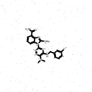 COc1nc2c(C(N)=O)cccc2n1-c1nnc(N(C)C)c(NCc2cccc(F)c2)n1